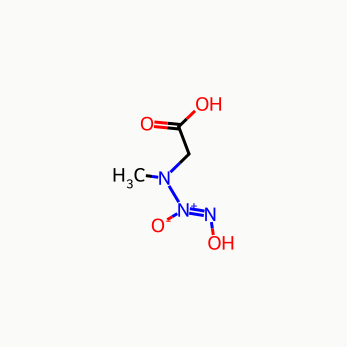 CN(CC(=O)O)/[N+]([O-])=N/O